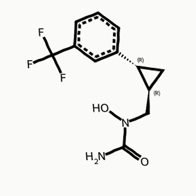 NC(=O)N(O)C[C@@H]1C[C@H]1c1cccc(C(F)(F)F)c1